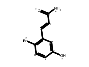 NC(=O)C=Cc1cc(O)ccc1Br